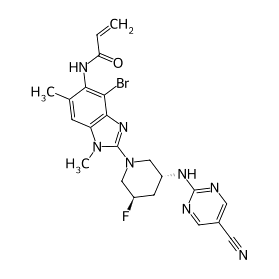 C=CC(=O)Nc1c(C)cc2c(nc(N3C[C@H](F)C[C@@H](Nc4ncc(C#N)cn4)C3)n2C)c1Br